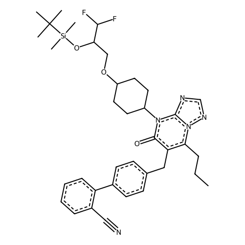 CCCc1c(Cc2ccc(-c3ccccc3C#N)cc2)c(=O)n(C2CCC(OCC(O[Si](C)(C)C(C)(C)C)C(F)F)CC2)c2ncnn12